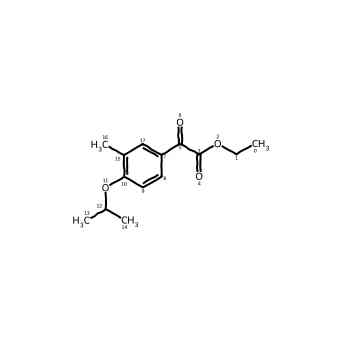 CCOC(=O)C(=O)c1ccc(OC(C)C)c(C)c1